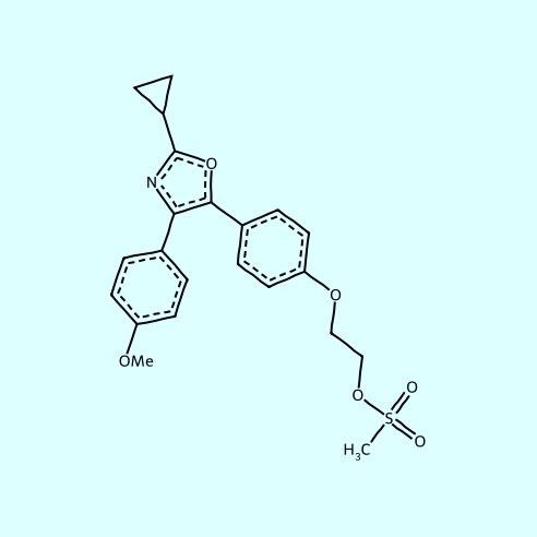 COc1ccc(-c2nc(C3CC3)oc2-c2ccc(OCCOS(C)(=O)=O)cc2)cc1